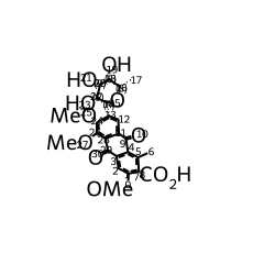 COc1cc2c(c(C)c1C(=O)O)C(=O)c1cc([C@H]3O[C@@H](C)[C@@H](O)[C@@H](O)[C@@H]3O)c(OC)c(OC)c1C2=O